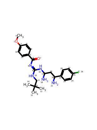 COc1ccc(C(=O)/N=C(/NCC(C)(C)C)NC(N)CC(N)c2ccc(F)cc2)cc1